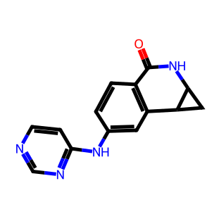 O=C1NC2CC2c2cc(Nc3ccncn3)ccc21